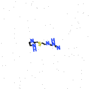 N#CNC=NCCSCc1ncc[nH]1